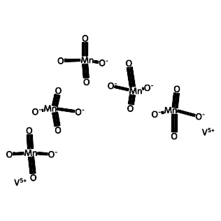 [O]=[Mn](=[O])([O-])[O-].[O]=[Mn](=[O])([O-])[O-].[O]=[Mn](=[O])([O-])[O-].[O]=[Mn](=[O])([O-])[O-].[O]=[Mn](=[O])([O-])[O-].[V+5].[V+5]